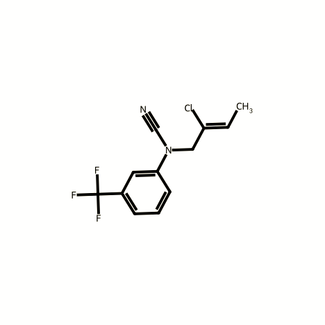 C/C=C(\Cl)CN(C#N)c1cccc(C(F)(F)F)c1